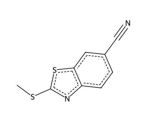 CSc1nc2ccc(C#N)cc2s1